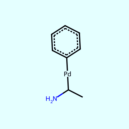 C[CH](N)[Pd][c]1ccccc1